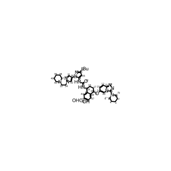 C[C@@H]1CCC[C@H](C)N1c1nnc2ccc(O[C@@H]3CC[C@H](NC(=O)Nc4cc(C(C)(C)C)nn4-c4cnn(CCN5CCCCC5)c4)c4ccccc43)cn12.O=CO